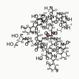 C[C@H](NC(=O)CCOCCC(=O)N[C@@H](CC(N)=O)C(=O)N[C@@H](CCN(C(=O)CO)[C@@H](c1cc(-c2cc(F)ccc2F)cn1Cc1ccccc1)C(C)(C)C)C(=O)NCCC(=O)N[C@H](CCC(=O)O)C(=O)O)C(=O)N[C@@H](C)C(=O)N[C@@H](CC(N)=O)C(=O)N[C@@H](CCN(C(=O)CO)[C@@H](c1cc(-c2cc(F)ccc2F)cn1Cc1ccccc1)C(C)(C)C)C(=O)NCCNC(=O)[C@@H](CCC(=O)O)NC(=O)CN1C(=O)C=CC1=O